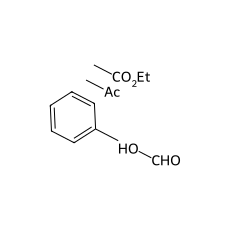 CC(C)=O.CCOC(C)=O.Cc1ccccc1.O=CO